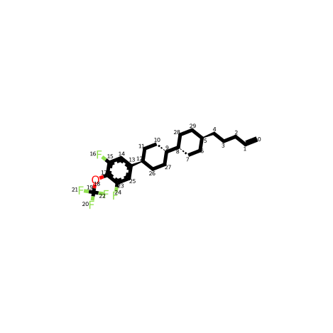 C=CCCC[C@H]1CC[C@H]([C@H]2CC[C@H](c3cc(F)c(OC(F)(F)F)c(F)c3)CC2)CC1